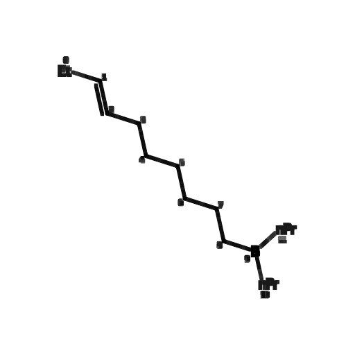 CC/C=C/CCCCCCB(CCC)CCC